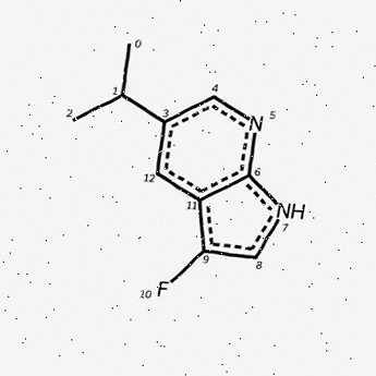 CC(C)c1cnc2[nH]cc(F)c2c1